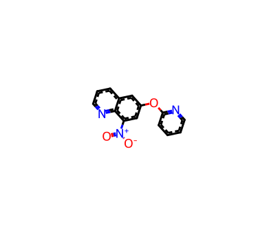 O=[N+]([O-])c1cc(Oc2ccccn2)cc2cccnc12